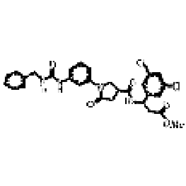 COC(=O)CC(NC(=O)C1CC(=O)N(c2cccc(NC(=O)NCc3ccccc3)c2)C1)c1cc(Cl)cc(Cl)c1